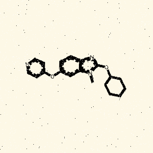 Cn1c(OC2CCCCC2)nc2ccc(Oc3ccncc3)cc21